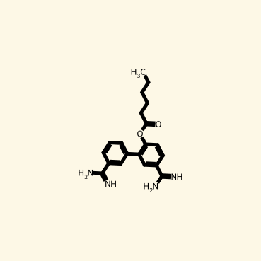 CCCCCC(=O)Oc1ccc(C(=N)N)cc1-c1cccc(C(=N)N)c1